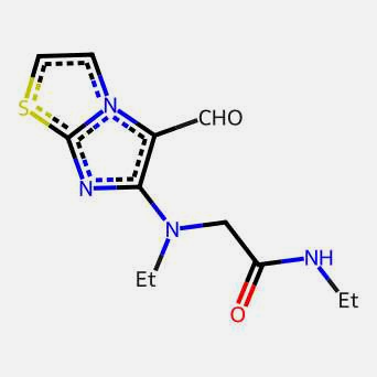 CCNC(=O)CN(CC)c1nc2sccn2c1C=O